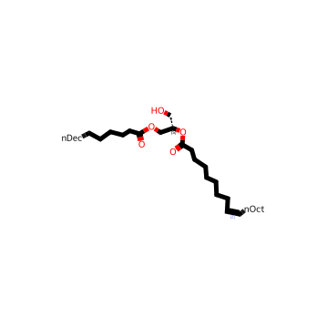 CCCCCCCC/C=C\CCCCCCCC(=O)O[C@@H](CO)COC(=O)CCCCCCCCCCCCCCC